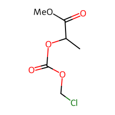 COC(=O)C(C)OC(=O)OCCl